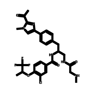 CNCC(=O)NCC(Cc1ccc(-c2cn(C)c(C(C)=O)n2)cc1)NC(=O)c1ccc(OC(C)C(F)(F)F)c(Cl)c1